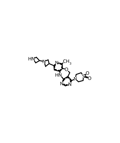 Cc1nc(C2CN(C3CNC3)C2)cc2c1OCc1c(ncnc1N1CCS(=O)(=O)CC1)N2